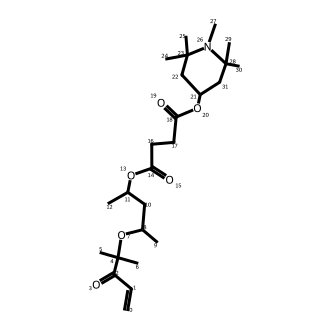 C=CC(=O)C(C)(C)OC(C)CC(C)OC(=O)CCC(=O)OC1CC(C)(C)N(C)C(C)(C)C1